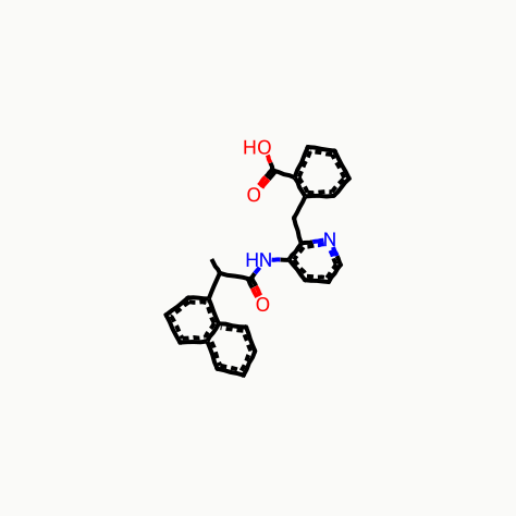 CC(C(=O)Nc1cccnc1Cc1ccccc1C(=O)O)c1cccc2ccccc12